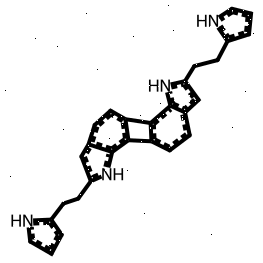 c1c[nH]c(CCc2cc3ccc4c(c3[nH]2)-c2ccc3cc(CCc5ccc[nH]5)[nH]c3c2-4)c1